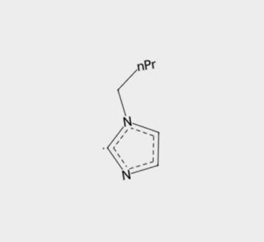 CCCCn1[c]ncc1